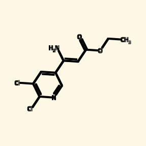 CCOC(=O)C=C(N)c1cnc(Cl)c(Cl)c1